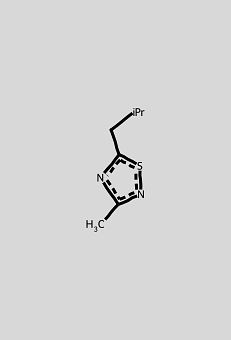 Cc1nsc(CC(C)C)n1